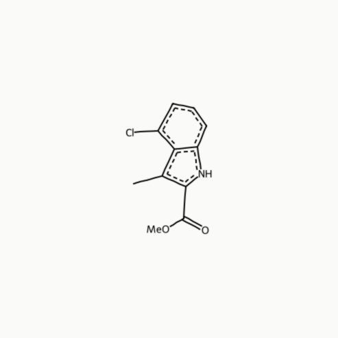 COC(=O)c1[nH]c2cccc(Cl)c2c1C